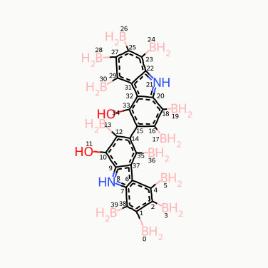 Bc1c(B)c(B)c2c([nH]c3c(O)c(B)c(-c4c(B)c(B)c5[nH]c6c(B)c(B)c(B)c(B)c6c5c4O)c(B)c32)c1B